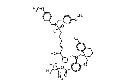 COc1ccc(CN(Cc2ccc(OC)cc2)S(=O)(=O)CCC/C=C/C(O)[C@@H]2CC[C@H]2CN2C[C@@]3(CCCc4cc(Cl)ccc43)COc3ccc(C(=O)OC(C)(C)C)cc32)cc1